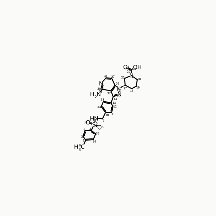 Cc1ccc(S(=O)(=O)NCc2ccc(-c3nn([C@@H]4CCCN(C(=O)O)C4)c4ccnc(N)c34)cc2)cc1